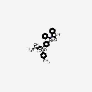 Cc1ccc(S(=O)(=O)N(CC(=O)N(C)C)c2ccc(N/C(=C3\C(=O)Nc4ccccc43)c3ccccc3)cc2)cc1